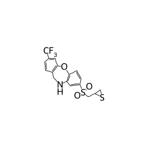 O=S(=O)(CC1CS1)c1ccc2c(c1)NCc1ccc(C(F)(F)F)cc1O2